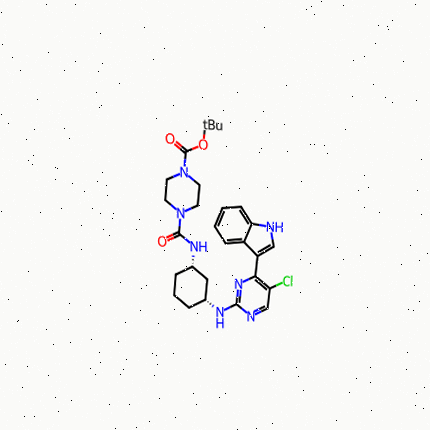 CC(C)(C)OC(=O)N1CCN(C(=O)N[C@H]2CCC[C@@H](Nc3ncc(Cl)c(-c4c[nH]c5ccccc45)n3)C2)CC1